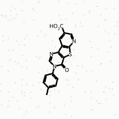 Cc1ccc(-n2cnc3c(sc4ncc(C(=O)O)cc43)c2=O)cc1